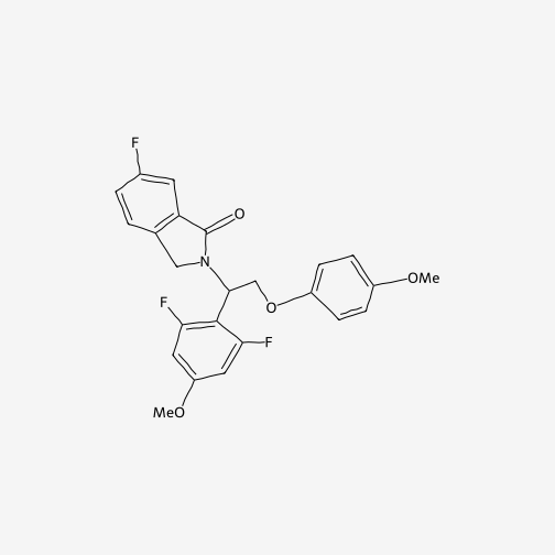 COc1ccc(OCC(c2c(F)cc(OC)cc2F)N2Cc3ccc(F)cc3C2=O)cc1